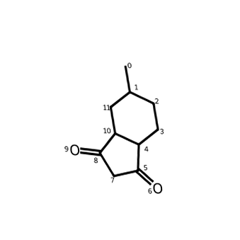 CC1CCC2C(=O)CC(=O)C2C1